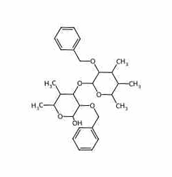 CC1OC(OC2C(C)C(C)OC(O)C2OCc2ccccc2)C(OCc2ccccc2)C(C)C1C